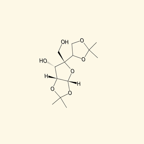 CC1(C)OCC([C@]2(CO)O[C@@H]3OC(C)(C)O[C@@H]3[C@@H]2O)O1